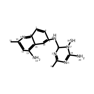 CC1=NC(Nc2ccc3nc(C)cc(N)c3c2)N(S)C(N)=N1